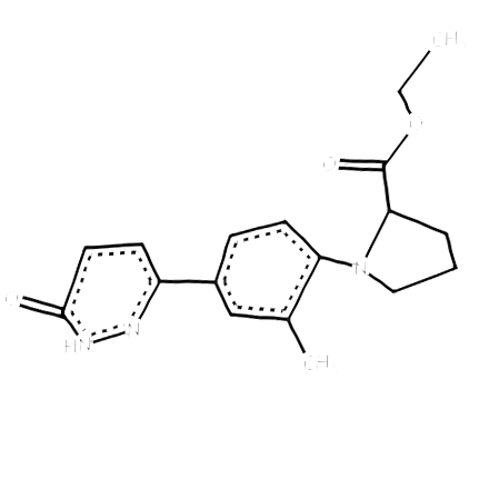 CCOC(=O)C1CCCN1c1ccc(-c2ccc(=O)[nH]n2)cc1C